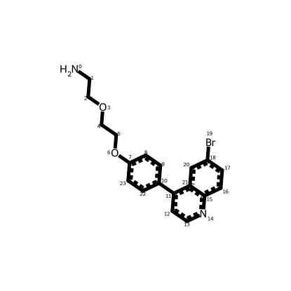 NCCOCCOc1ccc(-c2ccnc3ccc(Br)cc23)cc1